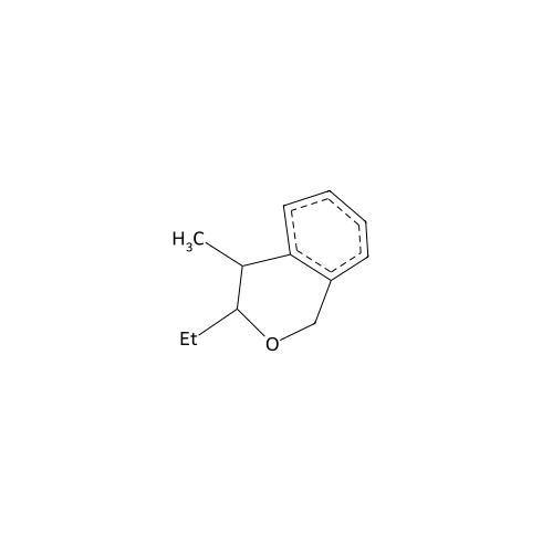 CCC1OCc2ccccc2C1C